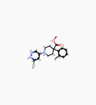 COC(=O)C1(c2ccccc2C)CCN(c2cnnc(Cl)c2)CC1